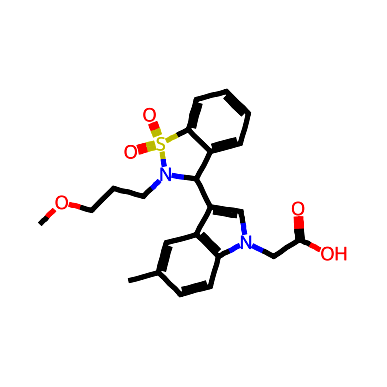 COCCCN1C(c2cn(CC(=O)O)c3ccc(C)cc23)c2ccccc2S1(=O)=O